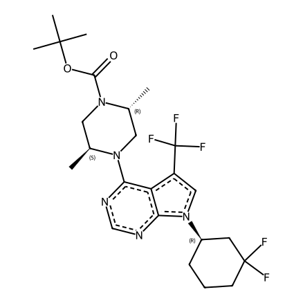 C[C@@H]1CN(c2ncnc3c2c(C(F)(F)F)cn3[C@@H]2CCCC(F)(F)C2)[C@@H](C)CN1C(=O)OC(C)(C)C